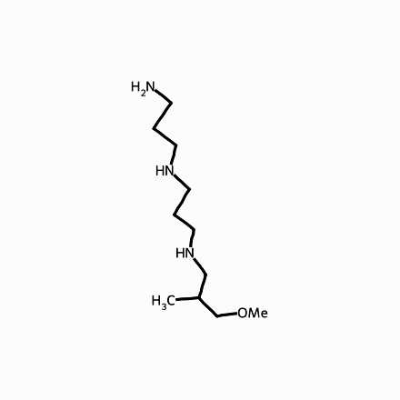 COCC(C)CNCCCNCCCN